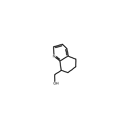 OCC1CCCc2cccnc21